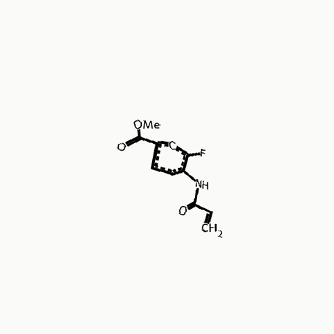 C=CC(=O)Nc1ccc(C(=O)OC)cc1F